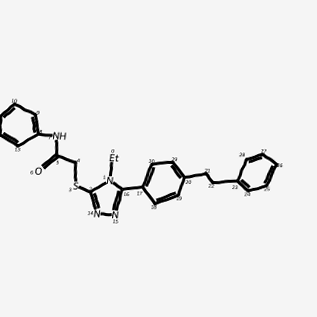 CCn1c(SCC(=O)Nc2ccccc2)nnc1-c1ccc(CCc2ccccc2)cc1